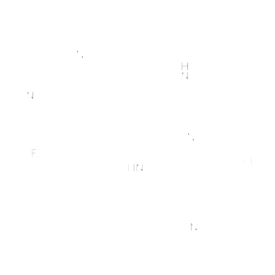 Fc1cc(CNc2cncc(Cl)c2N2CCNCC2)cc2nccnc12